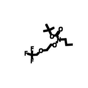 CCCN(OCCOCC(F)(F)F)C(=O)OC(C)(C)C